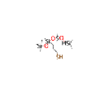 C[SiH](C)CO[Si](C)(C)O[Si](C)(CCCS)O[Si](C)(C)C